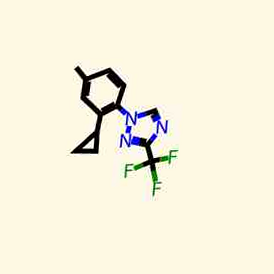 Cc1ccc(-n2cnc(C(F)(F)F)n2)c(C2CC2)c1